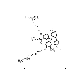 CCNCCCOCCCCc1ccc(C2(c3ccc(OCCCCCCN(C)C)c(C(=O)OCC)c3)c3cc(C)ccc3-c3ccc(C)cc32)cc1C